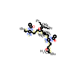 CC(C)CCCC(C)CCC1(CCC(C)CCCC(C)C)Oc2cc(-c3ccc(-c4c5c(c(-c6ccc(C(C)(C)C)s6)c6nc7c(nc46)C(=O)c4ccccc4-7)N=S=N5)s3)sc2-c2sc(C(C)(C)C(C)(C)c3ccc(-c4c5c(c(-c6ccc(-c7cc8c(s7)-c7sc(C(C)(C)C)cc7C(C)(C)O8)s6)c6nc7c(nc46)-c4ccccc4C7=O)N=S=N5)s3)cc21